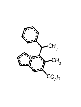 Cc1c(C(=O)O)cc2cccn2c1C(C)c1ccccc1